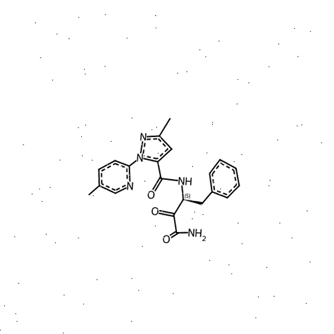 Cc1ccc(-n2nc(C)cc2C(=O)N[C@@H](Cc2ccccc2)C(=O)C(N)=O)nc1